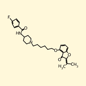 CC(C)=C1Oc2cccc(OCCCCCCN3CCC(NC(=O)c4ccc(F)cc4)CC3)c2C1=O